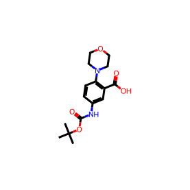 CC(C)(C)OC(=O)Nc1ccc(N2CCOCC2)c(C(=O)O)c1